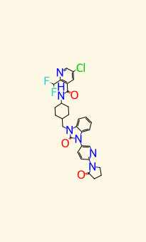 O=C(NC1CCC(Cn2c(=O)n(-c3ccc(N4CCCC4=O)nc3)c3ccccc32)CC1)c1cc(Cl)cnc1C(F)F